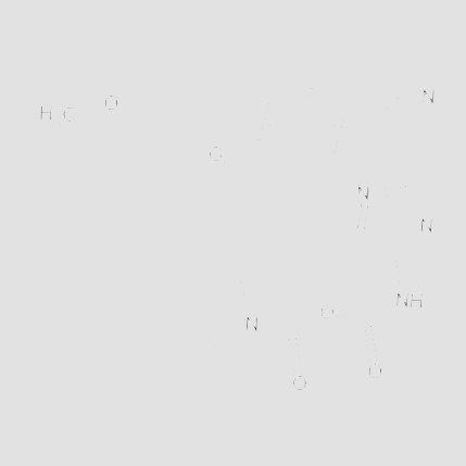 COCCOc1ccc(C#N)c(-n2cnc(NC(=O)OC(=O)N3CCCC3)c2)c1